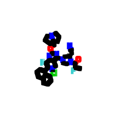 C=C(F)C(=O)N1CCN(c2nc(OCC34CCCN3CCC4)nc3c(F)c(-c4cccc5cccc(Cl)c45)ncc23)C[C@@H]1CC#N